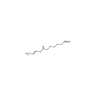 CC=CCPCCCCCCCCCC